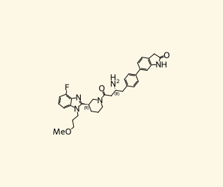 COCCCn1c([C@@H]2CCCN(C(=O)C[C@H](N)Cc3ccc(-c4ccc5c(c4)NC(=O)C5)cc3)C2)nc2c(F)cccc21